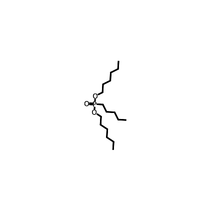 CCCCCCOP(=O)(CCCCC)OCCCCCC